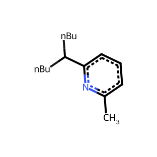 CCCCC(CCCC)c1cccc(C)n1